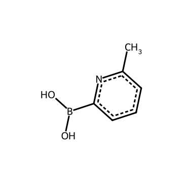 Cc1cccc(B(O)O)n1